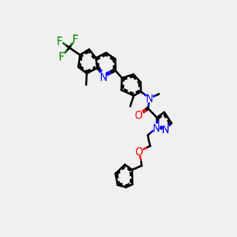 Cc1cc(-c2ccc3cc(C(F)(F)F)cc(C)c3n2)ccc1N(C)C(=O)c1ccnn1CCOCc1ccccc1